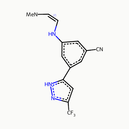 CN/C=C\Nc1cc(C#N)cc(-c2cc(C(F)(F)F)n[nH]2)c1